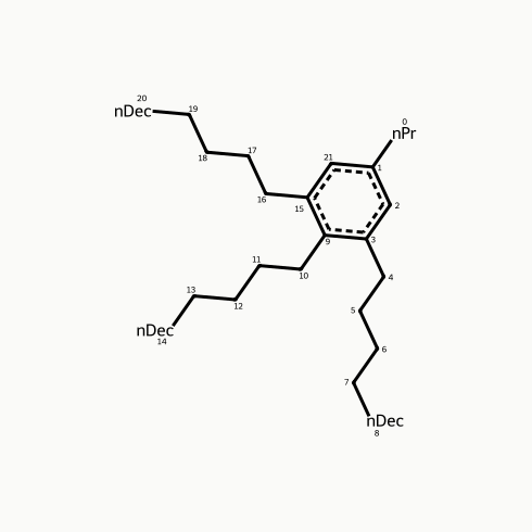 [CH2]CCc1cc(CCCCCCCCCCCCCC)c(CCCCCCCCCCCCCC)c(CCCCCCCCCCCCCC)c1